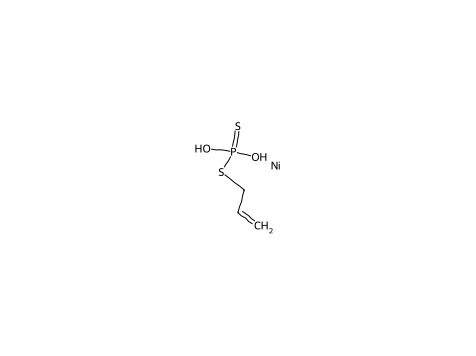 C=CCSP(O)(O)=S.[Ni]